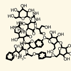 CCCOc1ccc(COCC2OC(OC3C(CO)OC(Oc4ccc(CC(NC(=O)C(N)C(C)c5ccccc5)C(=O)NC(C(=O)NC(C(=O)NC([C]=O)CO)C(O)C5CNC(=N)N5C5OC(CO)C(O)C(O)C5O)C(O)C5CNC(=N)N5)cc4)C(O)C3O)C(O)C(O)C2O)cc1